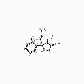 CC(N(C)C)C1(c2cccnc2)NC(=O)CS1